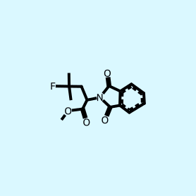 COC(=O)C(CC(C)(C)F)N1C(=O)c2ccccc2C1=O